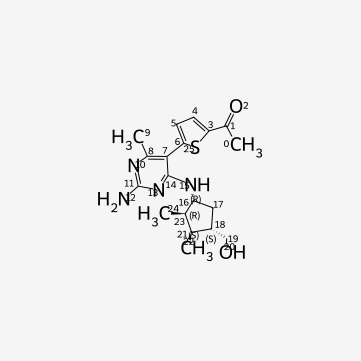 CC(=O)c1ccc(-c2c(C)nc(N)nc2N[C@@H]2C[C@H](CO)[C@@H](C)[C@H]2C)s1